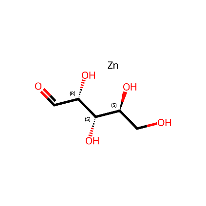 O=C[C@H](O)[C@@H](O)[C@@H](O)CO.[Zn]